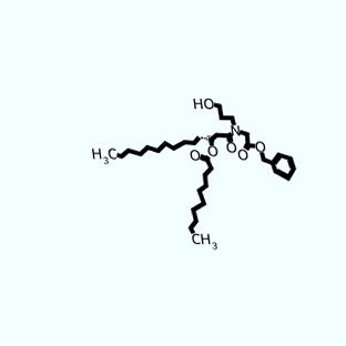 CCCCCCCCCCC[C@H](CC(=O)N(CCCO)CC(=O)OCc1ccccc1)OC(=O)CCCCCCCCC